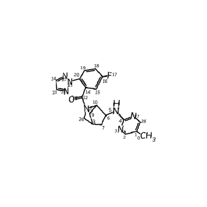 Cc1cnc(NC2CC3CC2N(C(=O)c2cc(F)ccc2-n2nccn2)C3)nc1